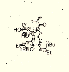 C=C(C)C(=O)OCCOC(CC(CC)CCCC)C(O)C(CC(CC)CCCC)OP(=O)(O)OP(=O)(O)O